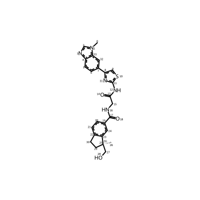 Cn1cnc2ccc(-c3csc(NC(=O)CNC(=O)c4ccc5c(c4)[C@@](C)(CO)CC5)n3)cc21